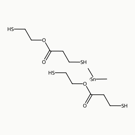 O=C(CCS)OCCS.O=C(CCS)OCCS.[CH3][Sn][CH3]